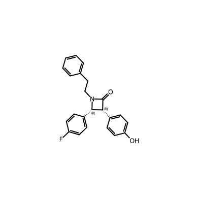 O=C1[C@H](c2ccc(O)cc2)[C@H](c2ccc(F)cc2)N1CCc1ccccc1